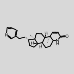 C[C@]12CC[C@H]3[C@@H](CCC4NC(=O)C=C[C@@]43C)[C@@H]1CC[C@@H]2CCc1cccnc1